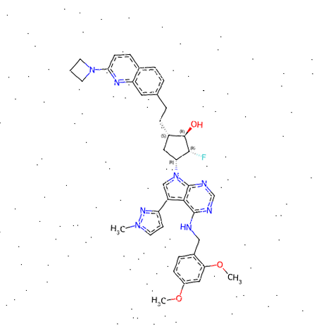 COc1ccc(CNc2ncnc3c2c(-c2ccn(C)n2)cn3[C@@H]2C[C@H](CCc3ccc4ccc(N5CCC5)nc4c3)[C@@H](O)[C@@H]2F)c(OC)c1